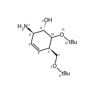 CC(C)(C)OC[C@H]1C=C[C@@H](N)[C@H](O)C1OC(C)(C)C